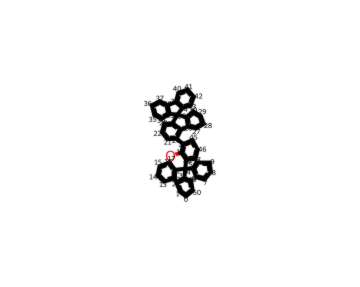 c1ccc(C2(c3ccccc3)c3ccccc3Oc3c(-c4cccc5c4-c4ccccc4C54c5ccccc5-c5ccccc54)cccc32)cc1